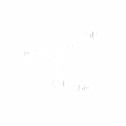 CC(=O)O.[InH3].[SbH3]